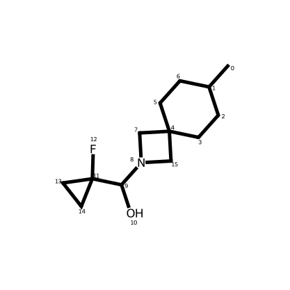 CC1CCC2(CC1)CN(C(O)C1(F)CC1)C2